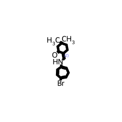 CC1(C)CC/C(=C/NC2=CCC=C(Br)C=C2)C(=O)C1